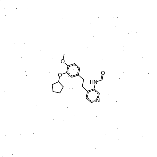 COc1ccc(CCc2ccncc2NC=O)cc1OC1CCCC1